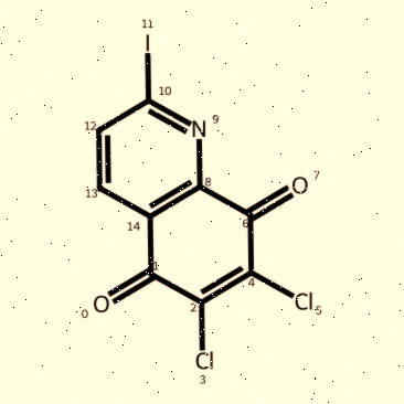 O=C1C(Cl)=C(Cl)C(=O)c2nc(I)ccc21